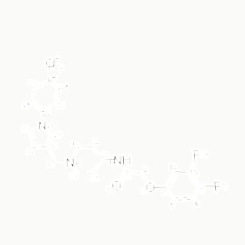 O=C(COc1ccc(F)c(F)c1)NC1CCN(Cc2ccn(-c3ccc(C(F)(F)F)cc3)c2)CC1